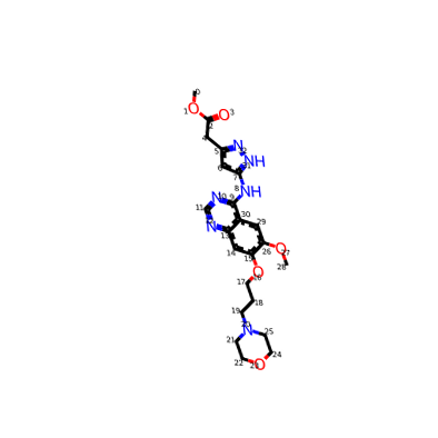 COC(=O)Cc1cc(Nc2ncnc3cc(OCCCN4CCOCC4)c(OC)cc23)[nH]n1